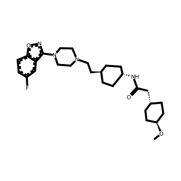 CO[C@H]1CC[C@H](CC(=O)N[C@H]2CC[C@H](CCN3CCN(c4noc5ccc(F)cc45)CC3)CC2)CC1